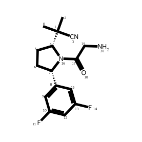 CC(C)(C#N)[C@H]1CC[C@@H](c2cc(F)cc(F)c2)N1C(=O)CN